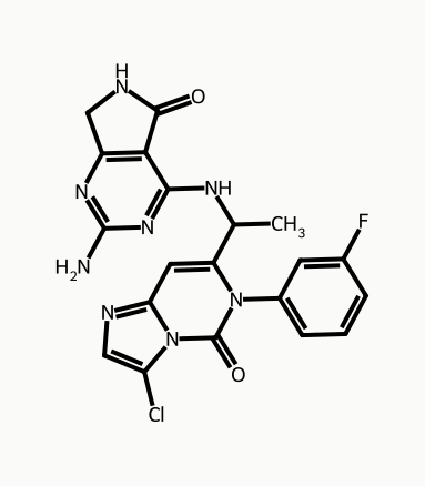 CC(Nc1nc(N)nc2c1C(=O)NC2)c1cc2ncc(Cl)n2c(=O)n1-c1cccc(F)c1